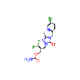 Cc1nn(CC(COC(N)=O)=C(F)F)c(=O)n1Cc1ccc(Br)cn1